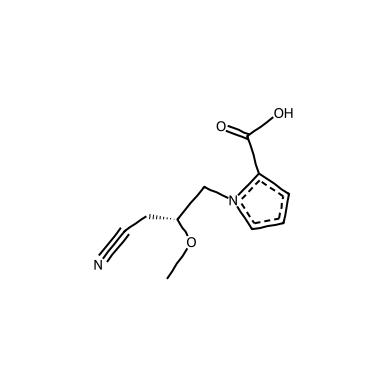 CO[C@H](CC#N)Cn1cccc1C(=O)O